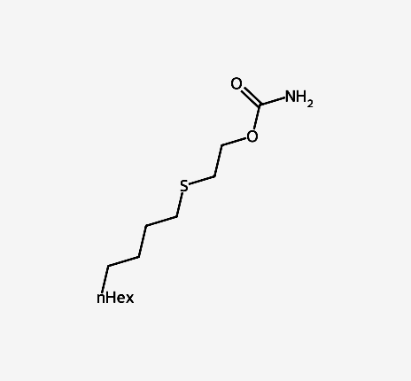 CCCCCCCCCCSCCOC(N)=O